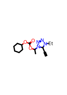 C#CC1N(CC)N=NN1C(C)OC(=O)OC1CCCCC1